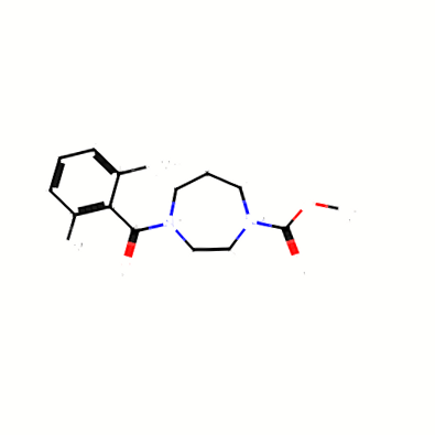 COc1cccc(OC)c1C(=O)N1CCCN(C(=O)OC(C)(C)C)CC1